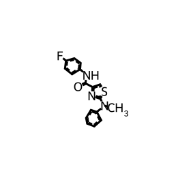 CN(c1ccccc1)c1nc(C(=O)Nc2ccc(F)cc2)cs1